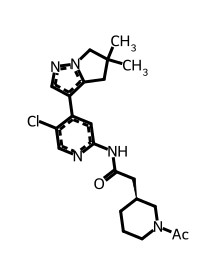 CC(=O)N1CCC[C@@H](CC(=O)Nc2cc(-c3cnn4c3CC(C)(C)C4)c(Cl)cn2)C1